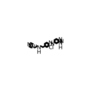 Clc1cc(CCNCC[N+]23CCN(CC2)CC3)ccc1N=Nc1ccc2nn[nH]c2c1